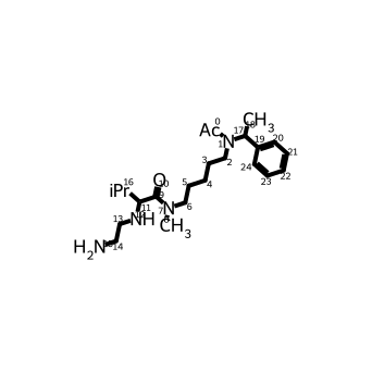 CC(=O)N(CCCCCN(C)C(=O)C(NCCN)C(C)C)C(C)c1ccccc1